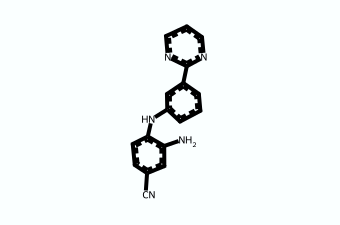 N#Cc1ccc(Nc2cccc(-c3ncccn3)c2)c(N)c1